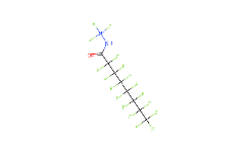 O=C(N[N+](F)(F)F)C(F)(F)C(F)(F)C(F)(F)C(F)(F)C(F)(F)C(F)(F)C(F)(F)F